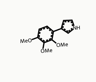 COc1ccc(-c2cc[nH]c2)c(OC)c1OC